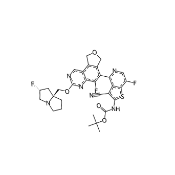 CC(C)(C)OC(=O)Nc1sc2c(F)cnc(-c3c4c(c5cnc(OC[C@@]67CCCN6C[C@H](F)C7)nc5c3F)COC4)c2c1C#N